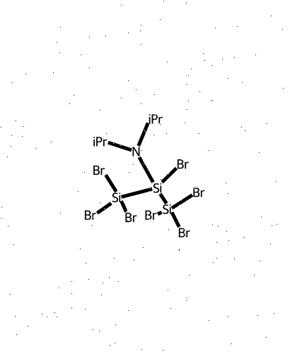 CC(C)N(C(C)C)[Si](Br)([Si](Br)(Br)Br)[Si](Br)(Br)Br